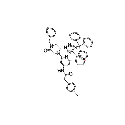 Cc1ccc(CC(=O)Nc2cc(-c3ccccc3-c3nnnn3C(c3ccccc3)(c3ccccc3)c3ccccc3)nc(N3CCN(Cc4ccccc4)C(=O)C3)c2)cc1